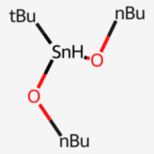 CCCC[O][SnH]([O]CCCC)[C](C)(C)C